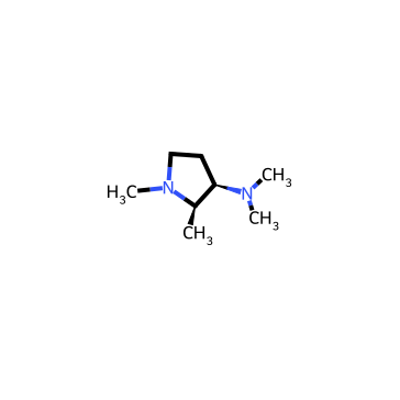 C[C@@H]1[C@H](N(C)C)CCN1C